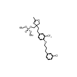 CC1=NC(CCc2ccc(OCCCc3cccc(Cl)c3)c(C(F)(F)F)c2)(COP(=O)(OC(C)(C)C)OC(C)(C)C)CO1